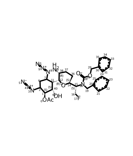 CC(=O)O[C@H]1C(N=[N+]=[N-])CC(N=[N+]=[N-])C([C@H]2O[C@H]([C@@H](CF)N(Cc3ccccc3)C(=O)OCc3ccccc3)CC[C@H]2N)[C@@H]1O